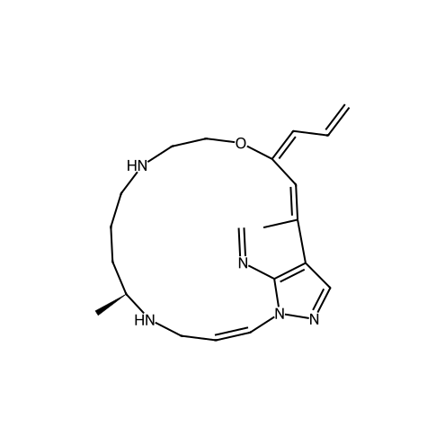 C=C/C=C1\C=C(/C)c2cnn(c2N=C)/C=C\CN[C@@H](C)CCCNCCO1